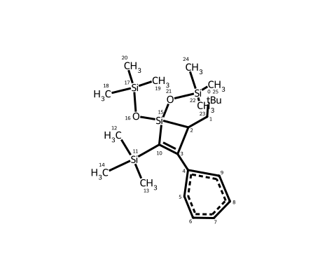 CC(C)(C)CC1C(c2ccccc2)=C([Si](C)(C)C)[Si]1(O[Si](C)(C)C)O[Si](C)(C)C